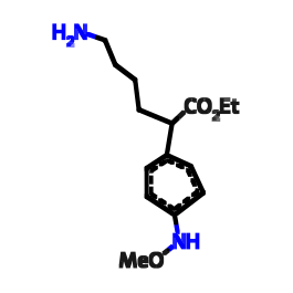 CCOC(=O)C(CCCCN)c1ccc(NOC)cc1